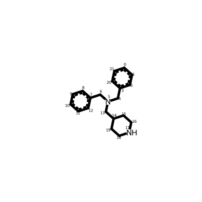 c1ccc(CN(Cc2ccccc2)CC2CCNCC2)cc1